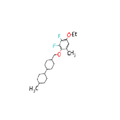 CCOc1cc(C)c(OCC2CCC(C3CCC(C)CC3)CC2)c(F)c1F